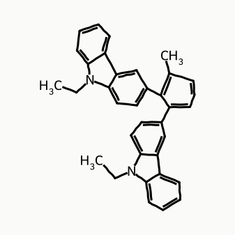 CCn1c2ccccc2c2cc(-c3cccc(C)c3-c3ccc4c(c3)c3ccccc3n4CC)ccc21